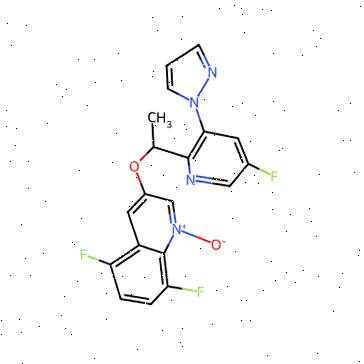 CC(Oc1cc2c(F)ccc(F)c2[n+]([O-])c1)c1ncc(F)cc1-n1cccn1